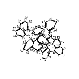 c1ccc2c(c1)-c1cccc3ccc4c(c13)c1c-2cccc1n4-c1ccccc1-c1nc(-c2cccc3ccccc23)nc(-c2cccc3ccccc23)n1